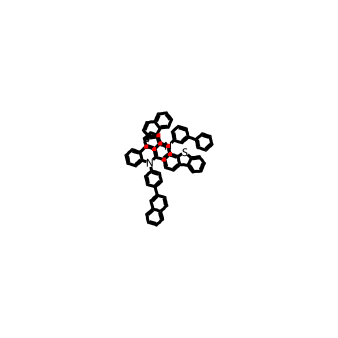 c1ccc(-c2cccc(N(c3cccc(-c4ccccc4N(c4ccc(-c5ccc6ccccc6c5)cc4)c4cccc5c4sc4ccc6ccccc6c45)c3)c3cccc4c3sc3ccccc34)c2)cc1